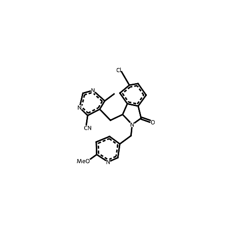 COc1ccc(CN2C(=O)c3ccc(Cl)cc3C2Cc2c(C)ncnc2C#N)cn1